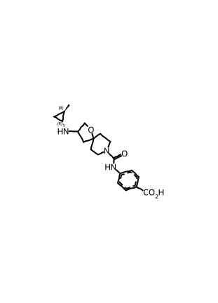 C[C@@H]1C[C@H]1NC1COC2(CCN(C(=O)Nc3ccc(C(=O)O)cc3)CC2)C1